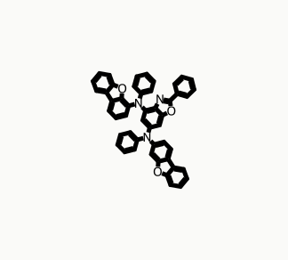 c1ccc(-c2nc3c(N(c4ccccc4)c4cccc5c4oc4ccccc45)cc(N(c4ccccc4)c4ccc5c(c4)oc4ccccc45)cc3o2)cc1